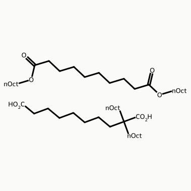 CCCCCCCCC(CCCCCCCC)(CCCCCCCC(=O)O)C(=O)O.CCCCCCCCOC(=O)CCCCCCCCC(=O)OCCCCCCCC